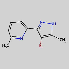 Cc1cccc(-c2n[nH]c(C)c2Br)n1